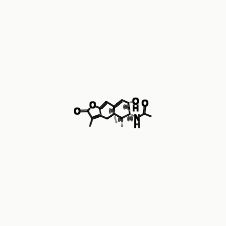 CC(=O)N[C@H]1[C@@H](O)C=C2C=C3OC(=O)C(C)=C3C[C@]2(C)[C@H]1C